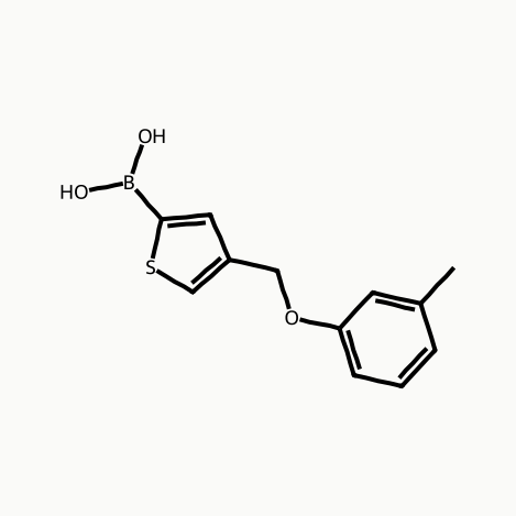 Cc1cccc(OCc2csc(B(O)O)c2)c1